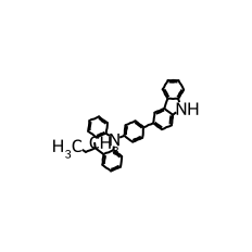 CCC(C)c1ccccc1N(c1ccccc1)c1ccc(-c2ccc3[nH]c4ccccc4c3c2)cc1